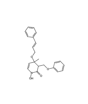 CC1(OCC=Cc2ccccc2)C=CN(O)C(=O)C1COc1ccccc1